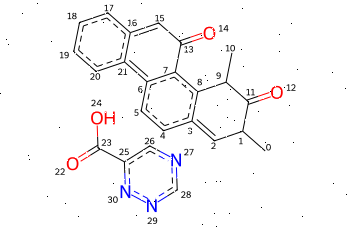 CC1C=c2ccc3c(c2C(C)C1=O)C(=O)C=c1ccccc1=3.O=C(O)c1cncnn1